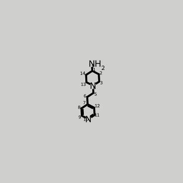 NC1CCN(CCc2ccncc2)CC1